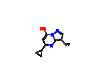 CC(C)c1cnn2c(O)cc(C3CC3)nc12